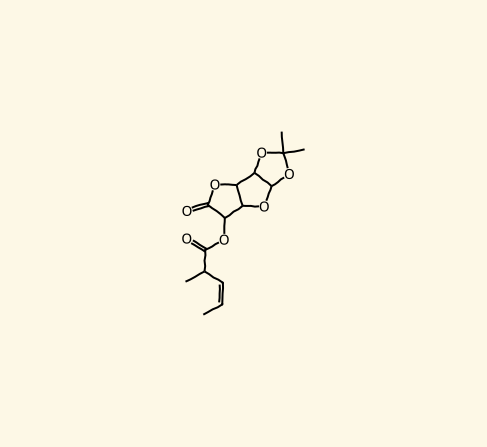 C/C=C\C(C)C(=O)OC1C(=O)OC2C3OC(C)(C)OC3OC12